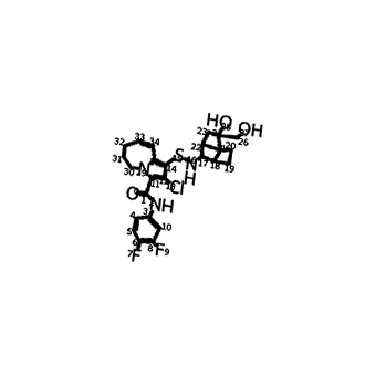 O=C(Nc1ccc(F)c(F)c1)c1c(Cl)c(SNC2C3CCC34C2CC4(O)CO)c2n1CCCC=C2